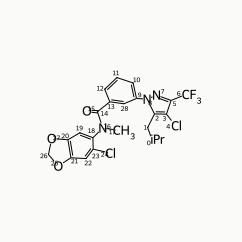 CC(C)Cc1c(Cl)c(C(F)(F)F)nn1-c1cccc(C(=O)N(C)c2cc3c(cc2Cl)OCO3)c1